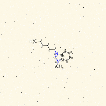 CCCCCC[n+]1cn(C)c2ccccc21